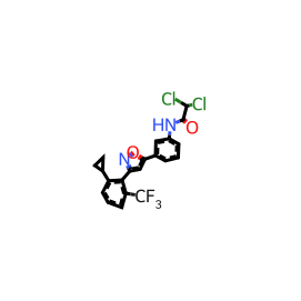 O=C(Nc1cccc(-c2cc(-c3c(C4CC4)cccc3C(F)(F)F)no2)c1)C(Cl)Cl